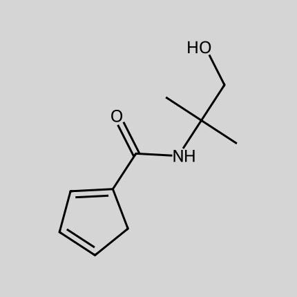 CC(C)(CO)NC(=O)C1=CC=CC1